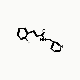 O=C(/C=C/c1ccccc1F)NCc1cccnc1